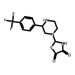 O=C1NC(N2CCNC(c3ccc(C(F)(F)F)cc3)C2)SC1=O